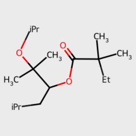 CCC(C)(C)C(=O)OC(CC(C)C)C(C)(C)OC(C)C